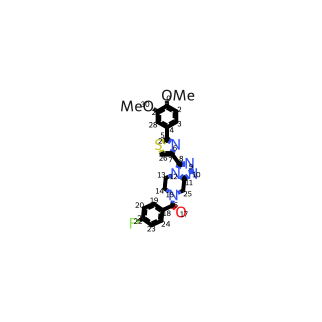 COc1ccc(-c2nc(-c3nnc4n3CCN(C(=O)c3ccc(F)cc3)C4)cs2)cc1OC